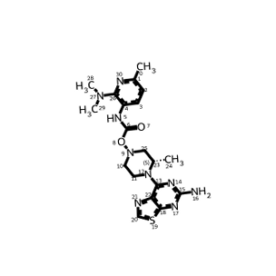 Cc1ccc(NC(=O)ON2CCN(c3nc(N)nc4scnc34)[C@@H](C)C2)c(N(C)C)n1